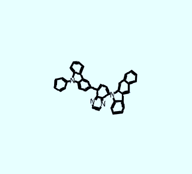 c1ccc(-n2c3ccccc3c3cc(-c4ccc(-n5c6ccccc6c6cc7ccccc7cc65)c5nccnc45)ccc32)cc1